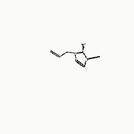 C=CCN1C=CN(C)C1Br